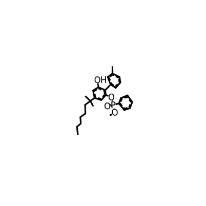 CCCCCCC(C)(C)c1cc(O)c(-c2cccc(C)c2)c(OP(=O)(OC)c2ccccc2)c1